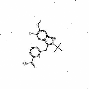 COc1cc2[nH]c(C(C)(C)C)c(Cc3cccc(C(N)=O)n3)c2cc1Cl